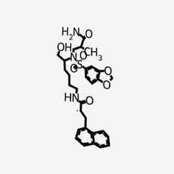 CC(CN(C(CO)CCCCNC(=O)[CH]Cc1cccc2ccccc12)S(=O)(=O)c1ccc2c(c1)OCO2)C(N)=O